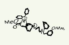 COC(=O)[C@H](Cc1ccc(OCCCN(Cc2cccc(OC)c2)c2ccccc2)cc1)Nc1ccccc1C(=O)c1ccccc1